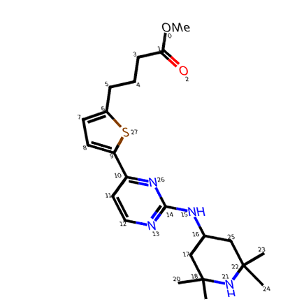 COC(=O)CCCc1ccc(-c2ccnc(NC3CC(C)(C)NC(C)(C)C3)n2)s1